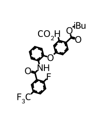 CCC(C)OC(=O)c1ccc(Oc2ccccc2NC(=O)c2cc(C(F)(F)F)ccc2F)cc1C(=O)O